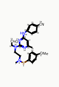 COc1ccc(SN(C)CCN(CC=O)c2nc(C)cc(Nc3ccc(C#N)cc3)n2)cc1